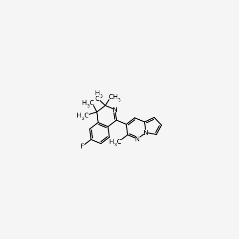 Cc1nn2cccc2cc1C1=NC(C)(C)C(C)(C)c2cc(F)ccc21